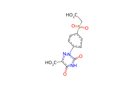 O=C(O)CS(=O)(=O)c1ccc(-n2nc(C(=O)O)c(=O)[nH]c2=O)cc1